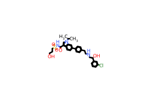 CC(C)n1cc(C(=O)NS(=O)(=O)CCCO)c2ccc(-c3ccc(CCNC[C@@H](O)c4cccc(Cl)c4)cc3)cc21